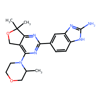 CC1COCCN1c1nc(-c2ccc3[nH]c(N)nc3c2)nc2c1COC2(C)C